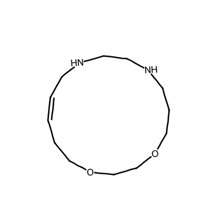 C1=CCNCCNCCCOCCOCC1